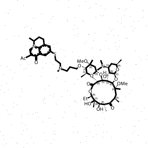 CC[C@H]1OC(=O)[C@H](C)[C@@H](O[C@H]2C[C@@](C)(OC)[C@@H](OCCCN(C)CCSc3cc4c5c(c3)c(=O)c(C(C)=O)cn5C(C)CC4)[C@H](C)O2)[C@H](C)[C@@H](O[C@@H]2O[C@H](C)C[C@H](N(C)C)[C@H]2O)[C@](C)(OC)C[C@@H](C)C(=O)[C@H](C)[C@@H](O)[C@]1(C)O